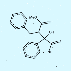 COC(=O)C(Cc1ccccc1)C1(O)C(=O)Nc2ccccc21